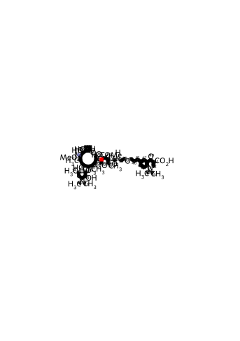 CO/N=C1\[C@H](C)C[C@@](C)(O)[C@H](O[C@@H]2O[C@H](C)C[C@H](N(C)C)[C@H]2O)[C@@H](C)[C@H](O[C@H]2C[C@@](C)(OC)[C@@H](OC(=O)NCCOCCCc3ccc4c(c3)c(=O)c(C(=O)O)cn4N(C)C)[C@H](C)O2)[C@@H](C)C(=O)O[C@@H]2CC[C@]2(O)[C@@H]1O